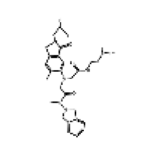 CCNCCNC(=O)CN(CC(=O)N(C)N1Cc2ccccc2C1)c1cc2c(cc1C)CN(CC(F)F)C2=O